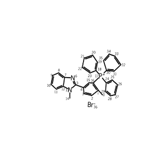 Cc1ccc(-c2nc3ccccc3n2C)cc1[P+](c1ccccc1)(c1ccccc1)c1ccccc1.[Br-]